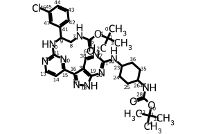 CC(C)(C)OC(=O)NCC(Nc1nccc(-c2n[nH]c3nc(NC4CCC(NC(=O)OC(C)(C)C)CC4)ncc23)n1)c1cccc(Cl)c1